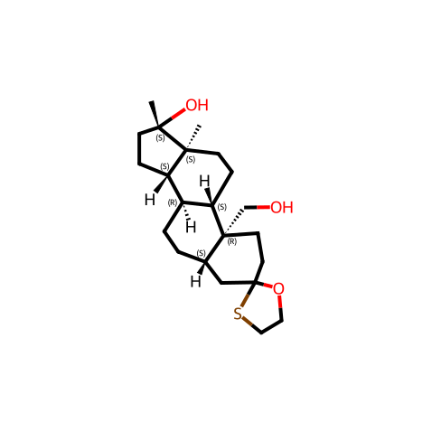 C[C@]1(O)CC[C@H]2[C@@H]3CC[C@H]4CC5(CC[C@]4(CO)[C@H]3CC[C@@]21C)OCCS5